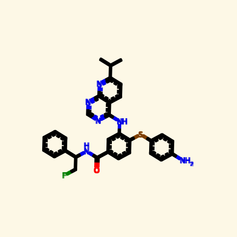 CC(C)c1ccc2c(Nc3cc(C(=O)NC(CF)c4ccccc4)ccc3Sc3ccc(N)cc3)ncnc2n1